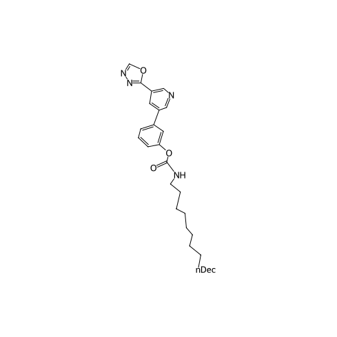 CCCCCCCCCCCCCCCCCCNC(=O)Oc1cccc(-c2cncc(-c3nnco3)c2)c1